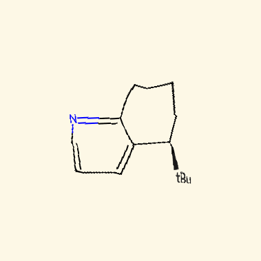 CC(C)(C)[C@@H]1CCCc2ncccc21